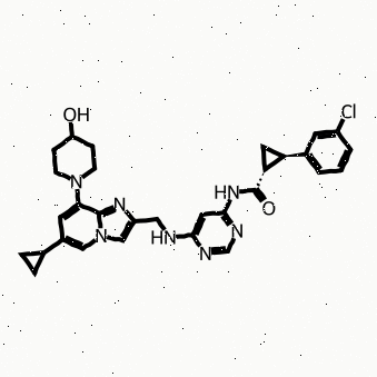 O=C(Nc1cc(NCc2cn3cc(C4CC4)cc(N4CCC(O)CC4)c3n2)ncn1)[C@@H]1C[C@H]1c1cccc(Cl)c1